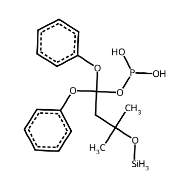 CC(C)(CC(Oc1ccccc1)(Oc1ccccc1)OP(O)O)O[SiH3]